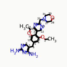 CCOc1cc(Cc2cnc(N)nc2N)cc(OCC)c1-c1cnc(CN2CCOCC2)nc1